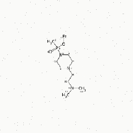 CCOP(C)(=O)N1CCN(CCN(C)C)CC1